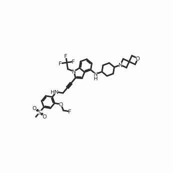 CS(=O)(=O)c1ccc(NCC#Cc2cc3c(NC4CCC(N5CC6(COC6)C5)CC4)cccc3n2CC(F)(F)F)c(OCF)c1